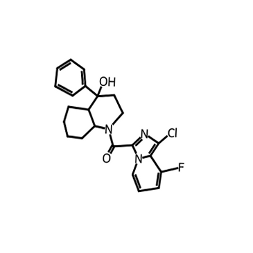 O=C(c1nc(Cl)c2c(F)cccn12)N1CCC(O)(c2ccccc2)C2CCCCC21